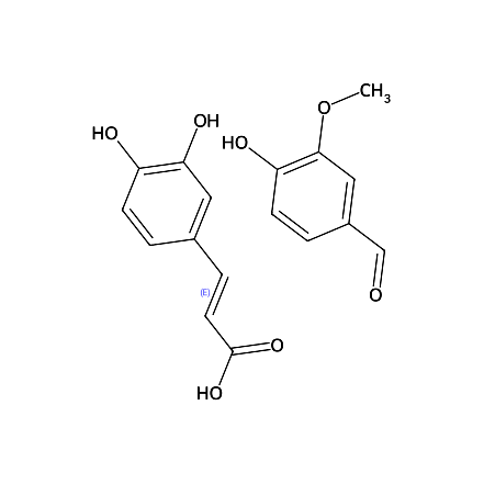 COc1cc(C=O)ccc1O.O=C(O)/C=C/c1ccc(O)c(O)c1